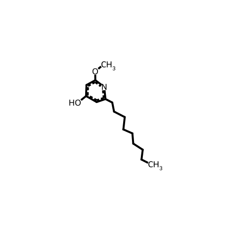 CCCCCCCCCc1cc(O)cc(OC)n1